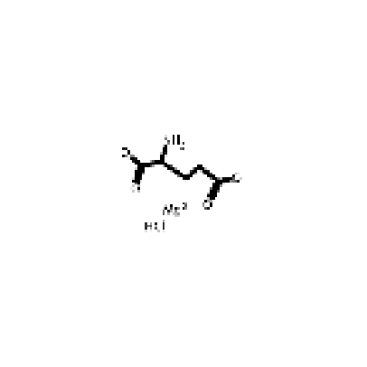 Cl.NC(CCC(=O)[O-])C(=O)[O-].[Mg+2]